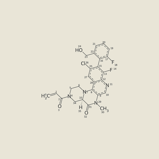 C=CC(=O)N1CCN2c3c(cnc4c(F)c(-c5c(F)cccc5CO)c(Cl)cc34)N(C)C(=O)[C@H]2C1